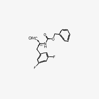 O=C[C@H](Cc1cc(F)cc(F)c1)NC(=O)OCc1ccccc1